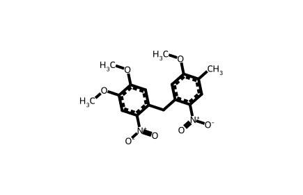 COc1cc(Cc2cc(OC)c(OC)cc2[N+](=O)[O-])c([N+](=O)[O-])cc1C